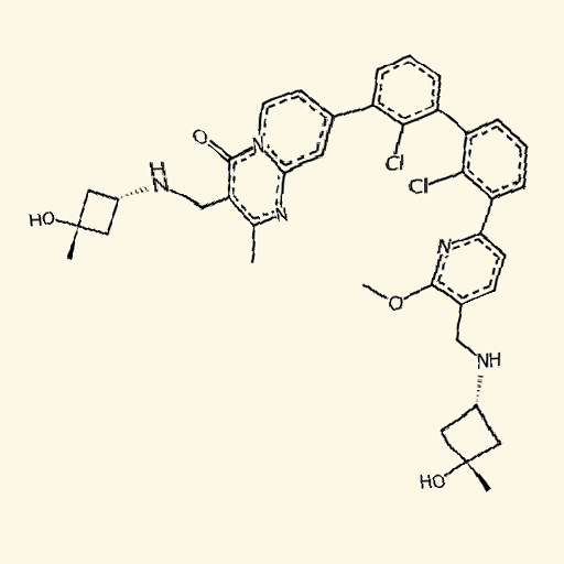 COc1nc(-c2cccc(-c3cccc(-c4ccn5c(=O)c(CN[C@H]6C[C@@](C)(O)C6)c(C)nc5c4)c3Cl)c2Cl)ccc1CN[C@H]1C[C@@](C)(O)C1